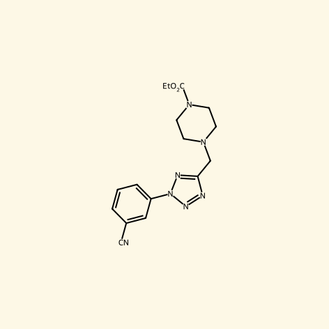 CCOC(=O)N1CCN(Cc2nnn(-c3cccc(C#N)c3)n2)CC1